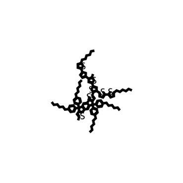 CCCCCCc1ccc(C2(c3ccc(CCCCCC)cc3)c3cc4c(cc3-c3sc(C)cc32)C(c2ccc(CCCCCC)cc2)(c2ccc(CCCCCC)cc2)c2cc(-c3sc(-c5cc(C6=CC=C(c7ccc(CCCCCC)s7)C6)c(C)s5)cc3-c3ccc(-c5ccc(CCCCCC)s5)s3)sc2-4)cc1